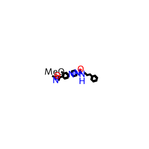 COc1cc(N2CCN(C(=O)NCCCc3ccccc3)CC2)ccc1-c1cnc(C)o1